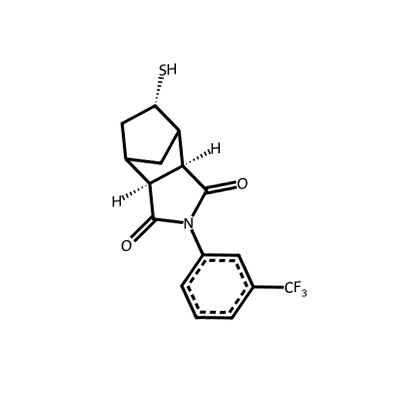 O=C1[C@@H]2C3CC(C[C@@H]3S)[C@@H]2C(=O)N1c1cccc(C(F)(F)F)c1